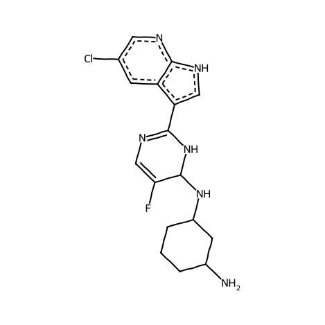 NC1CCCC(NC2NC(c3c[nH]c4ncc(Cl)cc34)=NC=C2F)C1